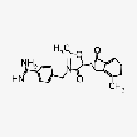 CCOC(C(=O)NCc1ccc(C(=N)N)cc1)N1Cc2c(C)cccc2C1=O